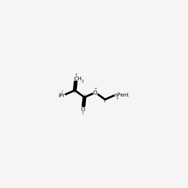 C=C(C(=O)OCCCCCC)C(C)C